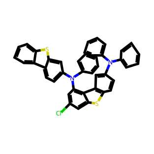 Clc1cc(N(c2ccccc2)c2ccc3c(c2)sc2ccccc23)c2c(c1)sc1ccc(N(c3ccccc3)c3ccccc3)cc12